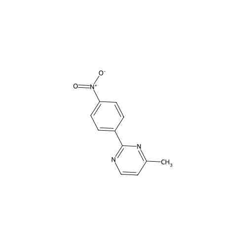 Cc1ccnc(-c2ccc([N+](=O)[O-])cc2)n1